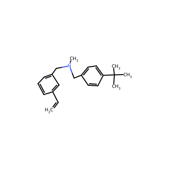 C=Cc1cccc(CN(C)Cc2ccc(C(C)(C)C)cc2)c1